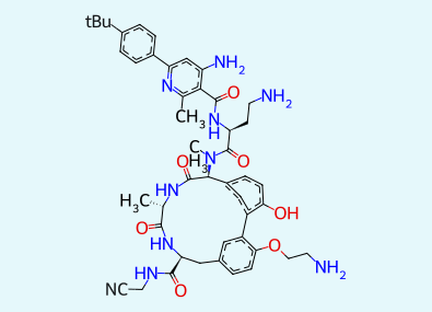 Cc1nc(-c2ccc(C(C)(C)C)cc2)cc(N)c1C(=O)N[C@@H](CCN)C(=O)N(C)[C@@H]1C(=O)N[C@@H](C)C(=O)N[C@H](C(=O)NCC#N)Cc2ccc(OCCN)c(c2)-c2cc1ccc2O